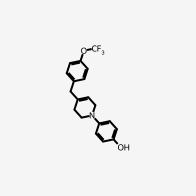 Oc1ccc(N2CC=C(Cc3ccc(OC(F)(F)F)cc3)CC2)cc1